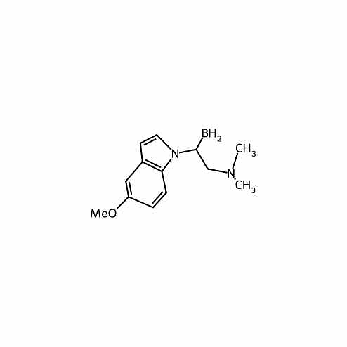 BC(CN(C)C)n1ccc2cc(OC)ccc21